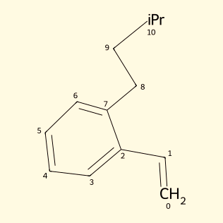 C=Cc1ccccc1CCC(C)C